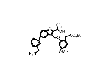 CCOC(=O)Cc1ccc(OC)cc1OCc1c(C(O)C(F)(F)F)oc2ccc(-c3cccc(CN)c3)cc12